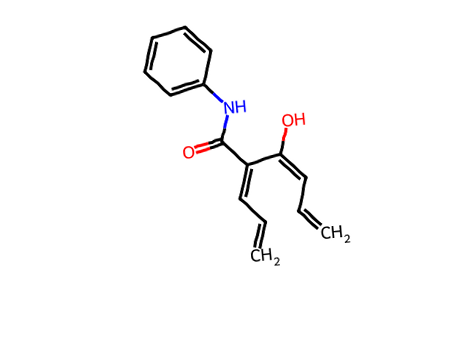 C=C/C=C(O)\C(=C/C=C)C(=O)Nc1ccccc1